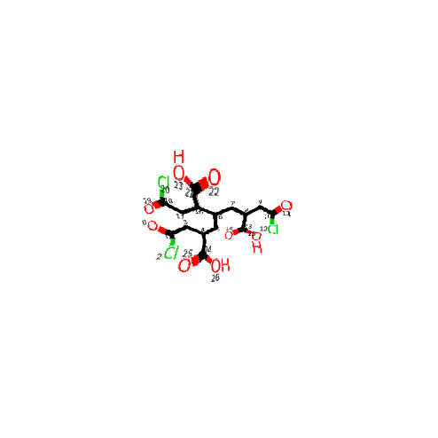 O=C(Cl)CC(CC(CC(CC(=O)Cl)C(=O)O)C(CC(=O)Cl)C(=O)O)C(=O)O